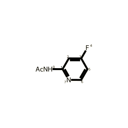 CC(=O)Nc1cc(F)ccn1